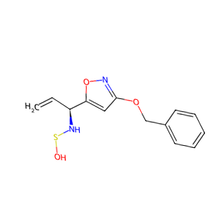 C=C[C@H](NSO)c1cc(OCc2ccccc2)no1